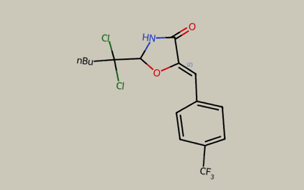 CCCCC(Cl)(Cl)C1NC(=O)/C(=C/c2ccc(C(F)(F)F)cc2)O1